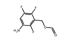 Nc1cc(F)c(F)c(COC=O)c1F